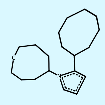 c1cc(C2CCCCCCC2)n(C2CCCCCCC2)c1